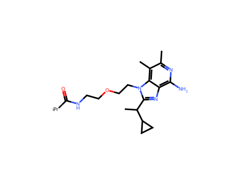 Cc1nc(N)c2nc(C(C)C3CC3)n(CCOCCNC(=O)C(C)C)c2c1C